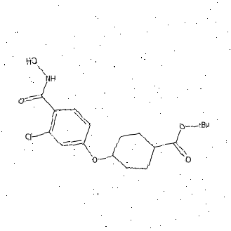 CC(C)(C)OC(=O)C1CCC(Oc2ccc(C(=O)NO)c(Cl)c2)CC1